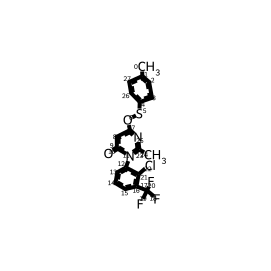 Cc1ccc(SOc2cc(=O)n(-c3cccc(C(F)(F)F)c3Cl)c(C)n2)cc1